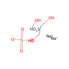 O=S(=O)(O)O.O=S(=O)([O-])[O-].OCCO.[Na+].[Na+]